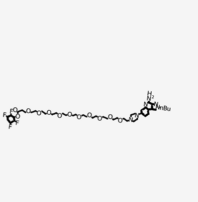 CCCCn1cc2c(n1)c(N)nc1cc(N3CCN(CCOCCOCCOCCOCCOCCOCCOCCOCCOCCOCCC(=O)Oc4c(F)c(F)cc(F)c4F)CC3)ccc12